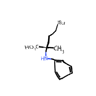 CC(C)(C)CC[C@](C)(Nc1ccccc1)C(=O)O